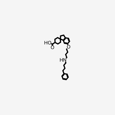 O=C(O)C1CCC2(CCc3ccc(OCCCCNCCCCc4ccccc4)cc32)CC1